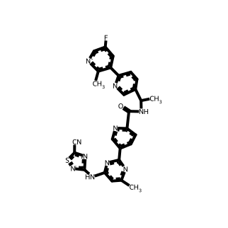 Cc1cc(Nc2nsc(C#N)n2)nc(-c2ccc(C(=O)NC(C)c3ccc(-c4cc(F)cnc4C)nc3)nc2)n1